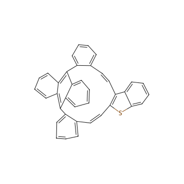 c1ccc2c(c1)ccc1sc3ccccc3c1ccc1ccccc1c1c3ccccc3c2c2ccccc21